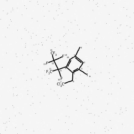 Cc1[c]c(I)c(CC(Cl)(Cl)Cl)c(C(F)(C(F)(F)F)C(F)(F)C(F)(F)F)c1